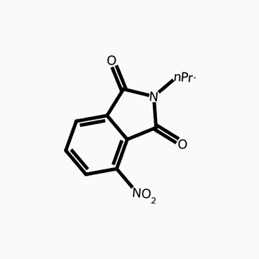 CC[CH]N1C(=O)c2cccc([N+](=O)[O-])c2C1=O